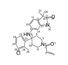 C=CC(=O)N1CCC(Nc2ccc3c(c2)N(C)C(=O)C3(C)C)(c2cccc(Cl)c2C)CC1